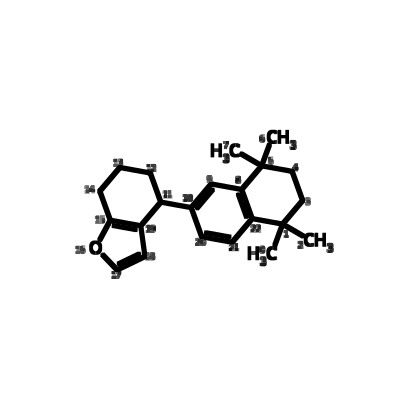 CC1(C)CCC(C)(C)c2cc(C3CCCc4occc43)ccc21